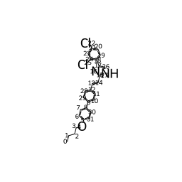 CCCCOc1ccc(-c2ccc(C=Cc3nc(-c4ccc(Cl)cc4Cl)c[nH]3)cc2)cc1